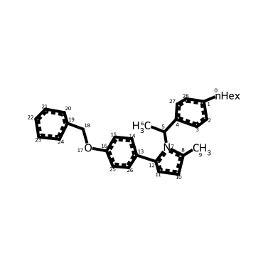 CCCCCCc1ccc(C(C)n2c(C)ccc2-c2ccc(OCc3ccccc3)cc2)cc1